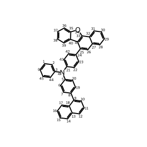 c1ccc(N(c2ccc(-c3cccc4ccccc34)cc2)c2ccc(-c3cc4ccccc4c4oc5ccccc5c34)cc2)cc1